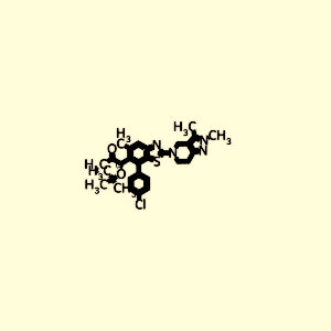 CC(=O)[C@@H](OC(C)(C)C)c1c(C)cc2nc(N3CCc4nn(C)c(C)c4C3)sc2c1-c1ccc(Cl)cc1